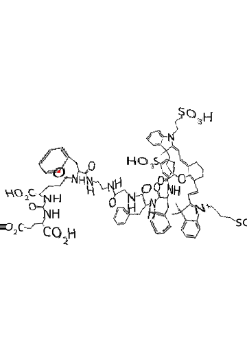 CC1(C)C(/C=C/C2=C(Oc3ccc(S(=O)(=O)O)cc3)C(=C/C=C3/N(CCCS(=O)(=O)O)c4ccccc4C3(C)CCCC(=O)N[C@@H](Cc3ccccc3)C(=O)NC(Cc3ccccc3)C(=O)NCC(=O)NCCNC(=O)[C@H](Cc3ccccc3)NC(=O)CC[C@H](NC(=O)N[C@@H](CCC(=O)O)C(=O)O)C(=O)O)/CCC2)=[N+](CCCS(=O)(=O)O)c2ccccc21